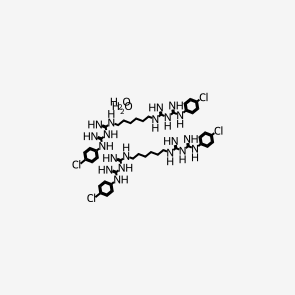 N=C(NCCCCCCNC(=N)NC(=N)Nc1ccc(Cl)cc1)NC(=N)Nc1ccc(Cl)cc1.N=C(NCCCCCCNC(=N)NC(=N)Nc1ccc(Cl)cc1)NC(=N)Nc1ccc(Cl)cc1.O.O